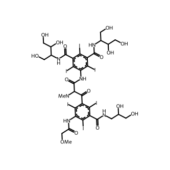 CNC(C(=O)Nc1c(I)c(C(=O)NC(CO)C(O)CO)c(I)c(C(=O)NC(CO)C(O)CO)c1I)C(=O)c1c(I)c(NC(=O)COC)c(I)c(C(=O)NCC(O)CO)c1I